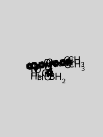 Bc1cc(C[C@@H](OC(=O)N2CCC(N3CCc4ccccc4NC3=O)CC2)C(=O)N2CCN(C3CCN(S(=O)(=O)N(C)C)CC3)CC2)cc(C)c1O